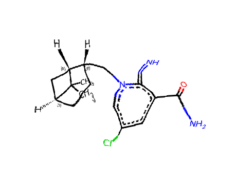 CC1(C)[C@H]2CC[C@@H](Cn3cc(Cl)cc(C(N)=O)c3=N)[C@H]1C2